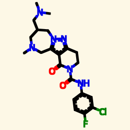 CN(C)CC1CN(C)Cc2c3c(nn2C1)CCN(C(=O)Nc1ccc(F)c(Cl)c1)C3=O